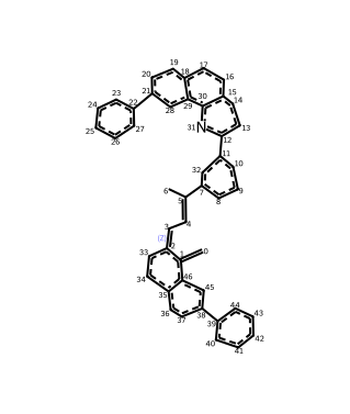 C=c1/c(=C\C=C(C)c2cccc(-c3ccc4ccc5ccc(-c6ccccc6)cc5c4n3)c2)ccc2ccc(-c3ccccc3)cc12